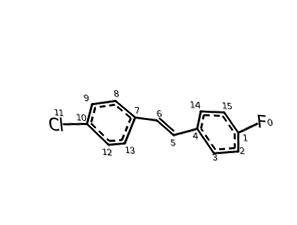 Fc1ccc(C=Cc2ccc(Cl)cc2)cc1